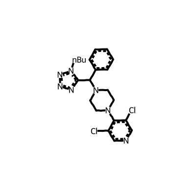 CCCCn1nnnc1C(c1ccccc1)N1CCN(c2c(Cl)cncc2Cl)CC1